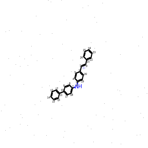 C(=C\c1ccc(Nc2ccc(-c3ccccc3)cc2)cc1)/c1ccccc1